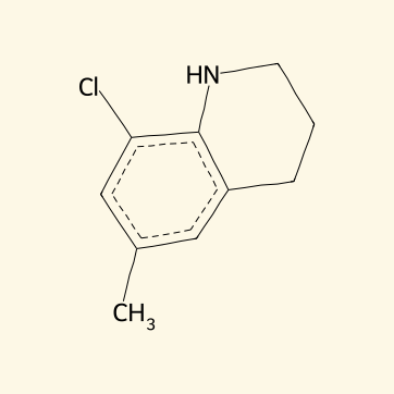 Cc1cc(Cl)c2c(c1)CCCN2